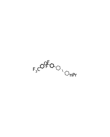 CCC[C@H]1CC[C@H](CC[C@H]2CC[C@H](c3ccc(C(F)(F)Oc4ccc(C(F)(F)F)cc4)cc3)CC2)CC1